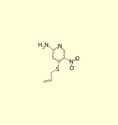 C=CCSc1cc(N)ncc1[N+](=O)[O-]